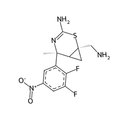 C[C@]1(c2cc([N+](=O)[O-])cc(F)c2F)N=C(N)S[C@@]2(CN)CC21